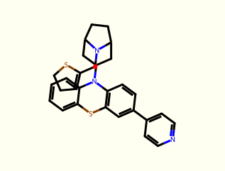 C1=C(CN2C3CCC2CC(N2c4ccccc4Sc4cc(-c5ccncc5)ccc42)C3)SCC1